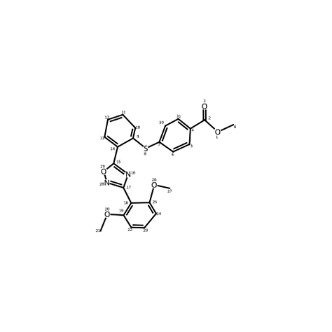 COC(=O)c1ccc(Sc2ccccc2-c2nc(-c3c(OC)cccc3OC)no2)cc1